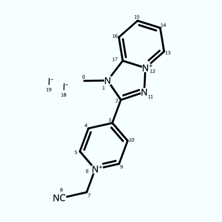 Cn1c(-c2cc[n+](CC#N)cc2)n[n+]2ccccc12.[I-].[I-]